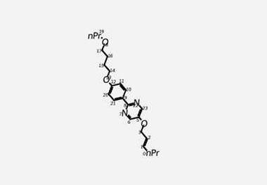 CCC/C=C/COc1cnc(-c2ccc(OCCCCOCCC)cc2)nc1